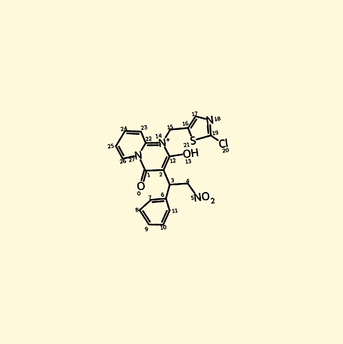 O=c1c(C(C[N+](=O)[O-])c2ccccc2)c(O)[n+](Cc2cnc(Cl)s2)c2ccccn12